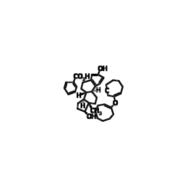 C1=C(OC2=CCCCCCC2)CCCCCC1.C[C@]12CC[C@@H]3c4ccc(O)cc4CC[C@H]3[C@@H]1CC[C@@H]2O.O=C(O)c1ccccc1